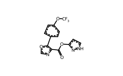 O=C(Oc1cc[nH]n1)c1ncoc1-c1ccc(OC(F)(F)F)cc1